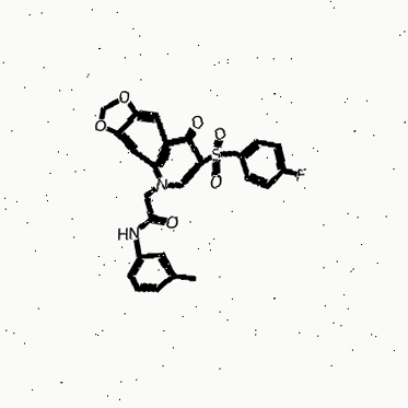 Cc1cccc(NC(=O)Cn2cc(S(=O)(=O)c3ccc(F)cc3)c(=O)c3cc4c(cc32)OCO4)c1